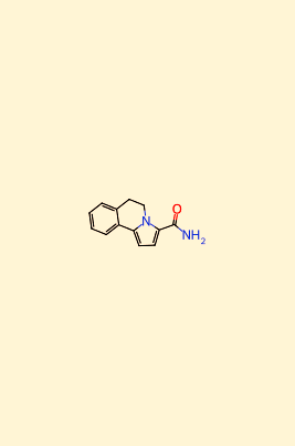 NC(=O)c1ccc2n1CCc1ccccc1-2